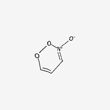 [O-][N+]1=CC=COO1